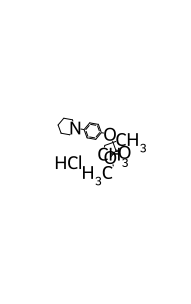 CCOC(=O)C(C)(CC)Oc1ccc(N2CCCCC2)cc1.Cl